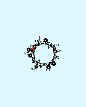 COCC[C@H]1C(=O)N2C[C@@H](O)C[C@@H]2C(=O)N[C@@H](CC(=O)O)C(=O)N[C@@H](C(C)C)C(=O)N(C)[C@@H](Cc2ccccc2)C(=O)N[C@@H](CCC(N)=O)C(=O)N2CCOC[C@@H]2C(=O)N[C@@H](Cc2c[nH]c3ccccc23)C(=O)N[C@@H](Cc2ccc(O)cc2)C(=O)N[C@@H](CC(C)C)C(=O)N[C@H](C(=O)NCC(N)=O)CSCC(=O)N[C@@H](Cc2cc(F)c(F)c(F)c2)C(=O)N(C)[C@@H](Cc2ccccc2)C(=O)N1C